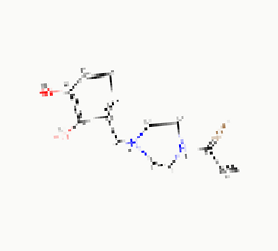 CSC(=S)N1CCN(Cc2cccc(O)c2O)CC1